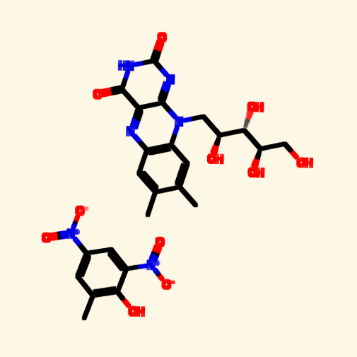 Cc1cc([N+](=O)[O-])cc([N+](=O)[O-])c1O.Cc1cc2nc3c(=O)[nH]c(=O)nc-3n(C[C@H](O)[C@H](O)[C@H](O)CO)c2cc1C